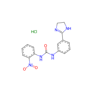 Cl.O=C(Nc1cccc(C2=NCCN2)c1)Nc1ccccc1[N+](=O)[O-]